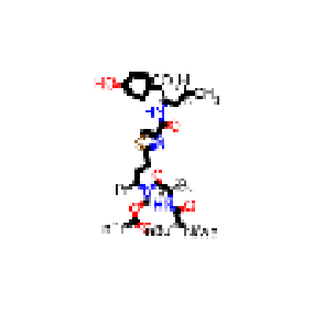 CCCC[C@@H](NC)C(=O)N[C@H](C(=O)N(COC(=O)CCC)[C@H](CCc1nc(C(=O)N[C@@H](CC2C=CC(O)=CC2)C[C@H](C)C(=O)O)cs1)C(C)C)C(C)CC